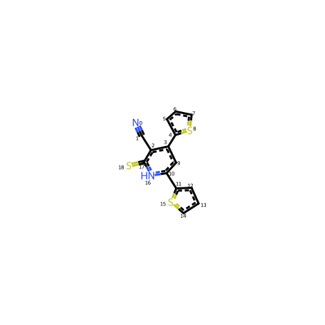 N#Cc1c(-c2cccs2)cc(-c2cccs2)[nH]c1=S